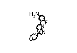 Nc1ccc(F)c(-c2ccn3c(N4CCOCC4)cnc3n2)c1